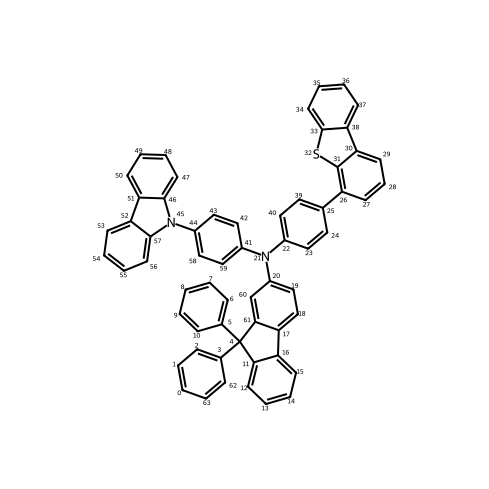 c1ccc(C2(c3ccccc3)c3ccccc3-c3ccc(N(c4ccc(-c5cccc6c5sc5ccccc56)cc4)c4ccc(-n5c6ccccc6c6ccccc65)cc4)cc32)cc1